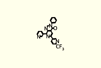 O=c1c2cc(-c3ccc(C(F)(F)F)nc3)nc(-c3cccnc3)c2ncn1-c1ccccc1